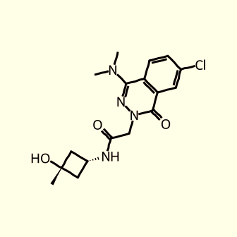 CN(C)c1nn(CC(=O)N[C@H]2C[C@@](C)(O)C2)c(=O)c2cc(Cl)ccc12